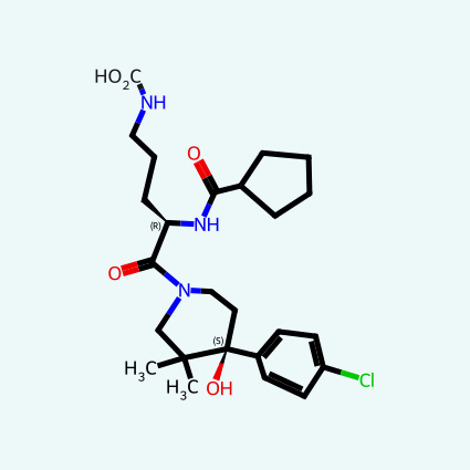 CC1(C)CN(C(=O)[C@@H](CCCNC(=O)O)NC(=O)C2CCCC2)CC[C@]1(O)c1ccc(Cl)cc1